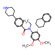 CCN(C(=O)c1ccc(C2CCNCC2)cc1)c1cc(OC)c(OC)cc1[C@@H]1CCc2c[c]ccc2C1